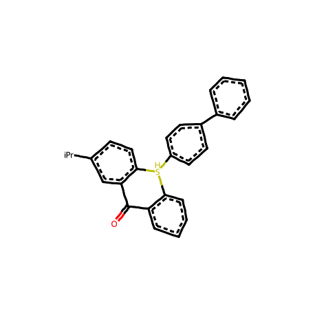 CC(C)c1ccc2c(c1)C(=O)c1ccccc1[SH]2c1ccc(-c2ccccc2)cc1